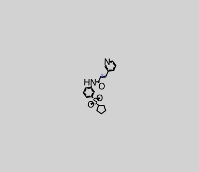 O=C(/C=C/c1cccnc1)Nc1cccc(S(=O)(=O)C2CCCC2)c1